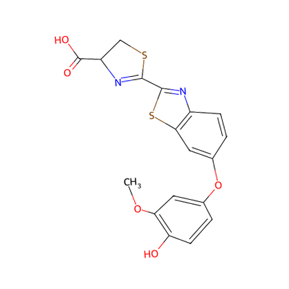 COc1cc(Oc2ccc3nc(C4=NC(C(=O)O)CS4)sc3c2)ccc1O